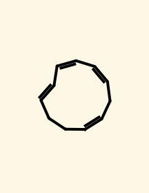 [C]1=C\C\C=C/C=C\C=C\CC/1